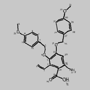 C=Cc1c(OCc2ccc(OC)cc2)c(OCc2ccc(OC)cc2)cc(N)c1C(=O)O